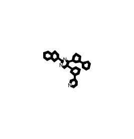 c1ccc(-c2cccc(-c3nc(-c4ccc5ccccc5c4)ncc3-c3cccc(-c4cccnc4)c3)c2)cc1